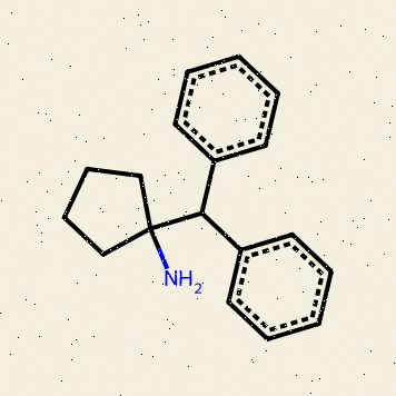 NC1(C(c2ccccc2)c2ccccc2)CCCC1